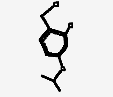 CC(C)Oc1ccc(CCl)c(Cl)c1